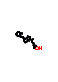 C=C1CCCC/C1=C/C=C1\CCC[C@@]2(C)C1CCC2C(C)CCCC(C)(C)O